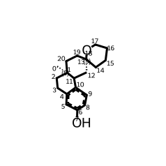 C[C@@]12CCc3cc(O)ccc3C1C[C@]1(CCCCO1)CC2